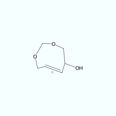 OC1/C=C/COCOC1